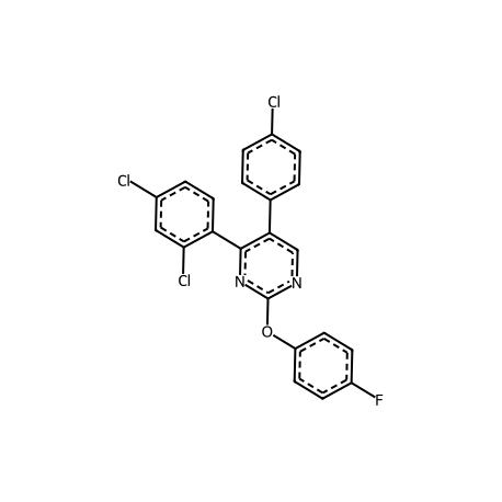 Fc1ccc(Oc2ncc(-c3ccc(Cl)cc3)c(-c3ccc(Cl)cc3Cl)n2)cc1